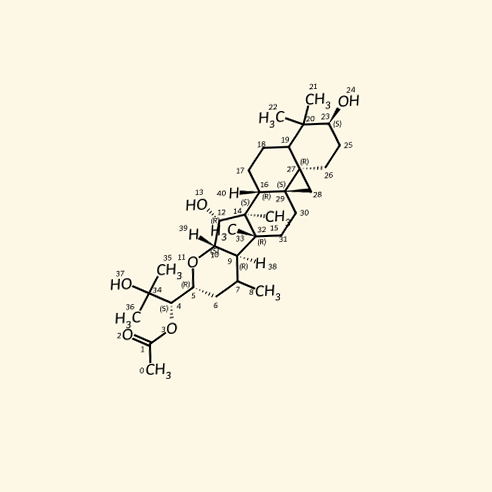 CC(=O)O[C@@H]([C@H]1CC(C)[C@H]2[C@H](O1)[C@H](O)[C@@]1(C)[C@@H]3CCC4C(C)(C)[C@@H](O)CC[C@@]45C[C@@]35CC[C@]21C)C(C)(C)O